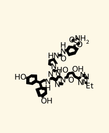 CCn1nnc(C2OC(n3cnc4c(NCC(c5ccc(O)cc5)c5ccc(O)cc5)nc(N5CC[C@@H](NC(=O)Nc6cccc(S(N)(=O)=O)c6)C5)nc43)C(O)C2O)n1